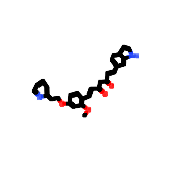 COc1cc(OCCc2ccccn2)ccc1C=CC(=O)CC(=O)C=Cc1ccc2cc[nH]c2c1